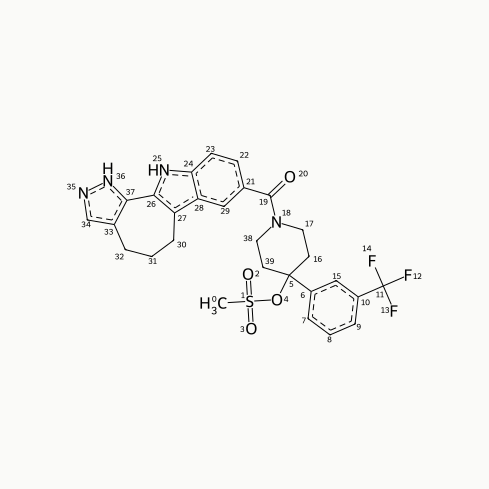 CS(=O)(=O)OC1(c2cccc(C(F)(F)F)c2)CCN(C(=O)c2ccc3[nH]c4c(c3c2)CCCc2cn[nH]c2-4)CC1